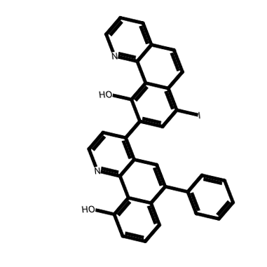 Oc1c(-c2ccnc3c2cc(-c2ccccc2)c2cccc(O)c23)cc(I)c2ccc3cccnc3c12